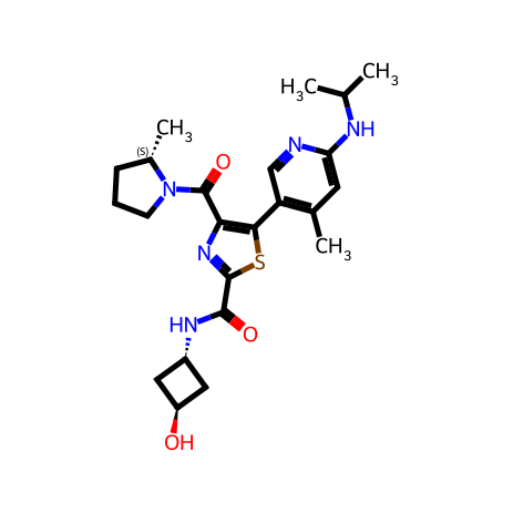 Cc1cc(NC(C)C)ncc1-c1sc(C(=O)N[C@H]2C[C@H](O)C2)nc1C(=O)N1CCC[C@@H]1C